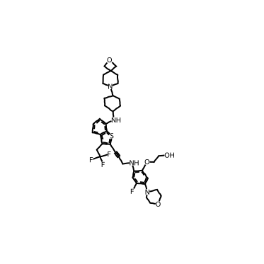 OCCOc1cc(N2CCOCC2)c(F)cc1NCC#Cc1sc2c(NC3CCC(N4CCC5(CC4)COC5)CC3)cccc2c1CC(F)(F)F